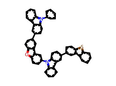 c1ccc(-n2c3ccccc3c3cc(-c4ccc5oc6ccc(-n7c8ccccc8c8cc(-c9ccc%10sc%11ccccc%11c%10c9)ccc87)cc6c5c4)ccc32)cc1